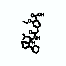 [2H][C@@](CC(C)C)(NC(=O)Cc1ccc(C(=O)O)c(OCC)c1)c1ccccc1N1CCCCC1